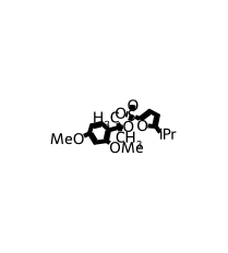 COc1ccc(C(C)(C)OS(=O)(=O)c2ccc(C(C)C)o2)c(OC)c1